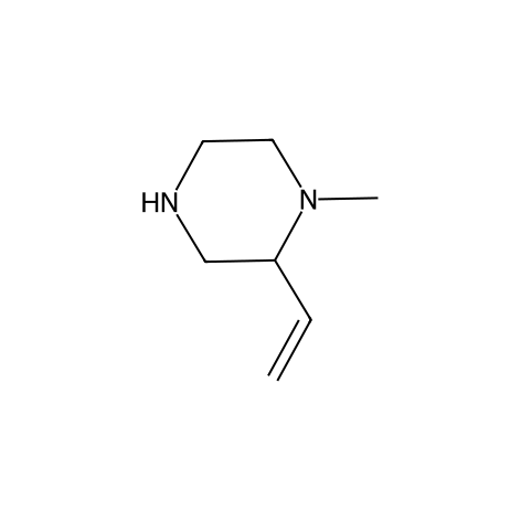 C=CC1CNCCN1C